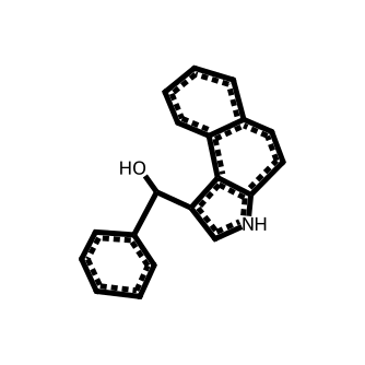 OC(c1ccccc1)c1c[nH]c2ccc3ccccc3c12